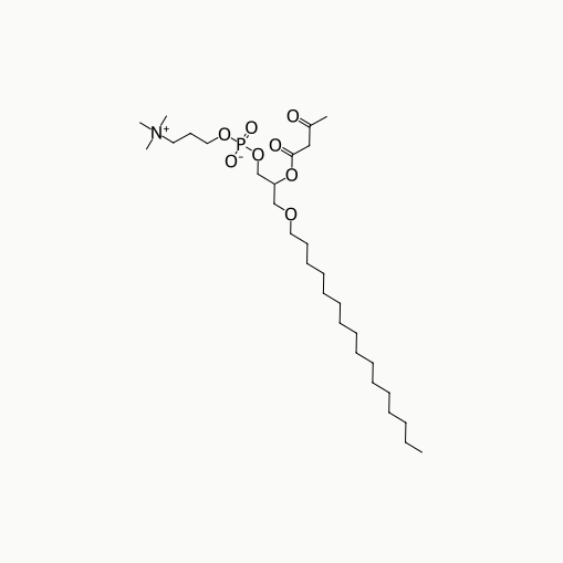 CCCCCCCCCCCCCCCCOCC(COP(=O)([O-])OCCC[N+](C)(C)C)OC(=O)CC(C)=O